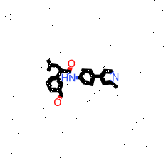 Cc1cc(-c2ccc(NC(=O)C(CC(C)C)c3cccc(C=O)c3)cc2)ccn1